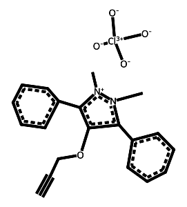 C#CCOc1c(-c2ccccc2)n(C)[n+](C)c1-c1ccccc1.[O-][Cl+3]([O-])([O-])[O-]